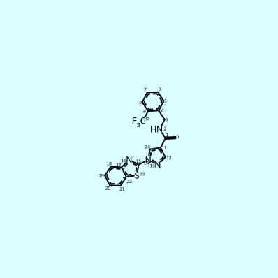 C=C(NCc1ccccc1C(F)(F)F)c1cnn(-c2nc3ccccc3s2)c1